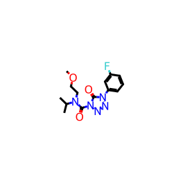 COCCN(C(=O)n1nnn(-c2cccc(F)c2)c1=O)C(C)C